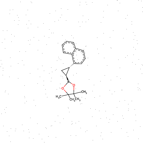 CC1(C)OB([C@H]2C[C@@H]2c2cccc3ccccc23)OC1(C)C